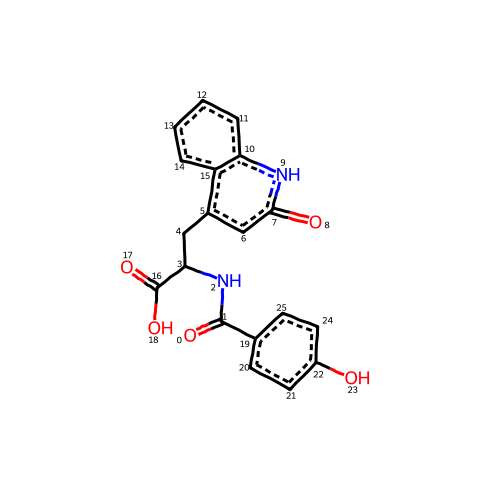 O=C(NC(Cc1cc(=O)[nH]c2ccccc12)C(=O)O)c1ccc(O)cc1